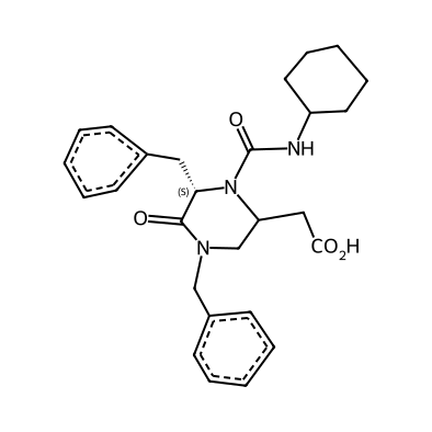 O=C(O)CC1CN(Cc2ccccc2)C(=O)[C@H](Cc2ccccc2)N1C(=O)NC1CCCCC1